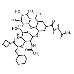 CCC1CC(C(=O)NNC(N)=O)C[C@@H](O[C@@H]2OC(CO)[C@H](O)C(O[C@@H](CC3CCCCC3)C(=O)N3CCC3)C2NC(C)=O)C1O[C@@H]1OC(C)[C@@H](O)C(O)C1O